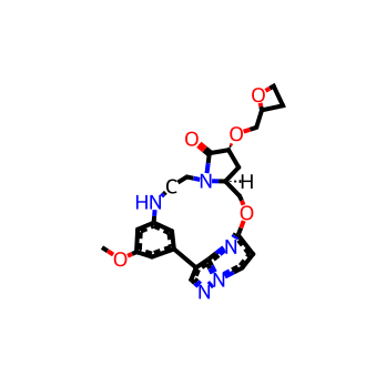 COc1cc2cc(c1)-c1cnn3ccc(nc13)OC[C@@H]1C[C@@H](OCC3CCO3)C(=O)N1CCN2